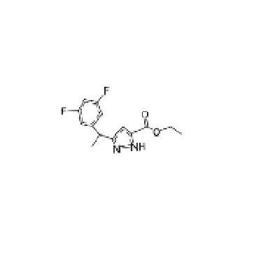 CCOC(=O)c1cc(C(C)c2cc(F)cc(F)c2)n[nH]1